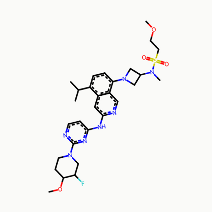 COCCS(=O)(=O)N(C)C1CN(c2ccc(C(C)C)c3cc(Nc4ccnc(N5CCC(OC)C(F)C5)n4)ncc23)C1